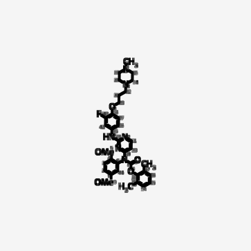 COc1ccc(OC)c(N(C(=O)Oc2c(C)cccc2C)c2ccnc(Nc3ccc(OCCCN4CCN(C)CC4)c(F)c3)n2)c1